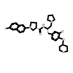 O=C(N[C@@H](Cc1ccc(OC2CCOCC2)c(Cl)c1)CN1CCCC1)[C@H]1CCN(c2ccc3cc(F)ccc3c2)C1